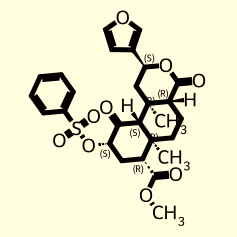 COC(=O)[C@@H]1C[C@H](OS(=O)(=O)c2ccccc2)C(=O)[C@H]2[C@@]1(C)CC[C@H]1C(=O)O[C@H](c3ccoc3)C[C@]21C